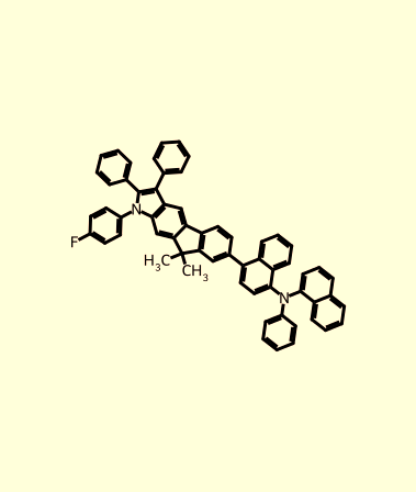 CC1(C)c2cc(-c3ccc(N(c4ccccc4)c4cccc5ccccc45)c4ccccc34)ccc2-c2cc3c(-c4ccccc4)c(-c4ccccc4)n(-c4ccc(F)cc4)c3cc21